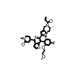 C=CC(=O)N1Cc2cc(-c3nc(-c4ccn(C)c(=O)c4)c4ccsc4c3-c3c(F)cc(F)cc3OCCOC)nn2C[C@H]1C